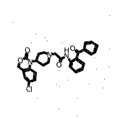 O=C(CN1CCC(N2C(=O)OCc3cc(Cl)ccc32)CC1)Nc1ccccc1C(=O)c1ccccc1